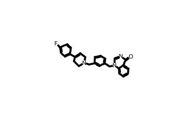 O=c1ncn(Cc2cccc(CN3CC=C(c4ccc(F)cc4)CC3)c2)c2ccccc12